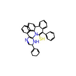 SC1=C(c2ccccc2)c2ccccc2-c2ccccc2N1C1=C(c2ccccc2)N=CC(C2=CCCC=C2)N1